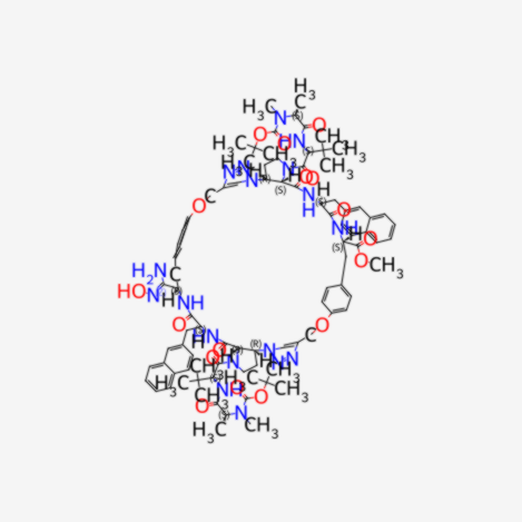 COC(=O)[C@@H]1Cc2ccc(cc2)OCc2cn(nn2)[C@@H]2CCN(C(=O)[C@@H](NC(=O)[C@H](C)N(C)C(=O)OC(C)(C)C)C(C)(C)C)[C@@H]2C(=O)N[C@@H](Cc2ccc3ccccc3c2)C(=O)N[C@H](/C(N)=N/O)Cc2ccc(cc2)OCc2cn(nn2)[C@@H]2CCN(C(=O)[C@@H](NC(=O)[C@H](C)N(C)C(=O)OC(C)(C)C)C(C)(C)C)[C@@H]2C(=O)N[C@@H](Cc2ccc3ccccc3c2)C(=O)N1